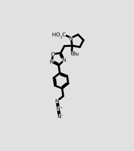 CC(C)(C)C1(Cc2nc(-c3ccc(CN=[N+]=[N-])cc3)no2)CCCN1C(=O)O